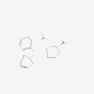 COC(=O)[C@H]1CCC[C@H](O[Si](c2ccccc2)(c2ccccc2)C(C)(C)C)[C@@H]1NC(=O)OC(C)(C)C